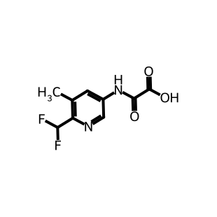 Cc1cc(NC(=O)C(=O)O)cnc1C(F)F